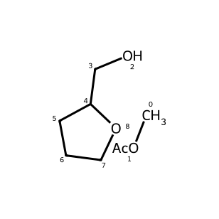 COC(C)=O.OCC1CCCO1